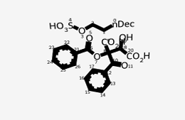 CCCCCCCCCCCCOS(=O)(=O)O.O=C(OC(C(=O)O)(C(=O)c1ccccc1)C(O)C(=O)O)c1ccccc1